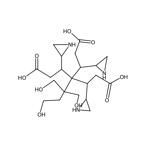 O=C(O)CC(C1CN1)C(C(CC(=O)O)C1CN1)(C(CC(=O)O)C1CN1)C(CO)(CO)CCO